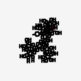 CC1CCC(O[C@@H]2OC(CO[C@H]3OC(CO[C@H]4OC(CO)[C@@H](O)[C@H](O)C4O[C@H]4OC(CO)[C@@H](O)[C@H](O)C4O)[C@@H](O)[C@H](O[C@H]4OC(CO)[C@@H](O)C(O)C4O[C@H]4OC(CO)[C@@H](O)C(O)C4O)C3O)[C@@H](O)[C@H](O[C@H]3OC(CO)[C@@H](O)C(O)C3O[C@H]3OC(CO)[C@@H](O)C(O)C3O[C@H]3OC(CO)[C@@H](O)C(O)C3O)C2O)CC1